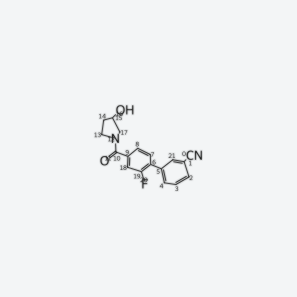 N#Cc1cccc(-c2ccc(C(=O)N3CCC(O)C3)cc2F)c1